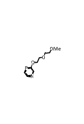 COCCOCCOc1cnccp1